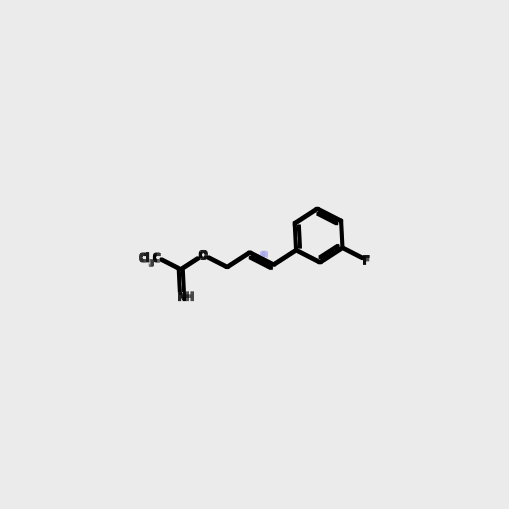 N=C(OC/C=C/c1cccc(F)c1)C(Cl)(Cl)Cl